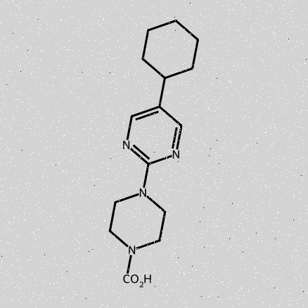 O=C(O)N1CCN(c2ncc(C3CCCCC3)cn2)CC1